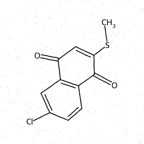 CSC1=CC(=O)c2cc(Cl)ccc2C1=O